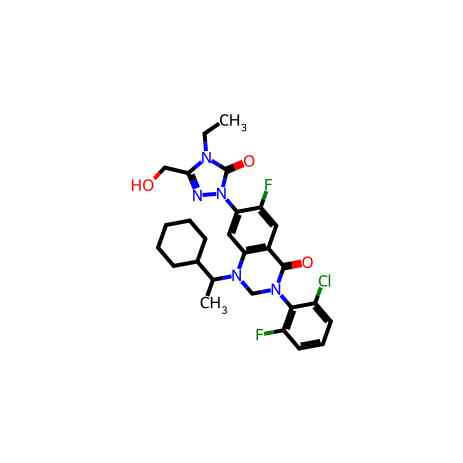 CCn1c(CO)nn(-c2cc3c(cc2F)C(=O)N(c2c(F)cccc2Cl)CN3C(C)C2CCCCC2)c1=O